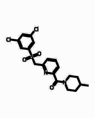 CC1CCN(C(=O)c2cccc(CS(=O)(=O)c3cc(Cl)cc(Cl)c3)n2)CC1